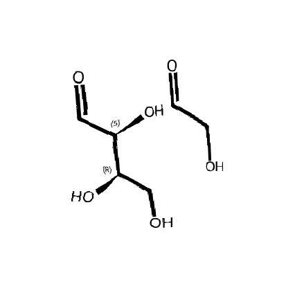 O=CCO.O=C[C@@H](O)[C@H](O)CO